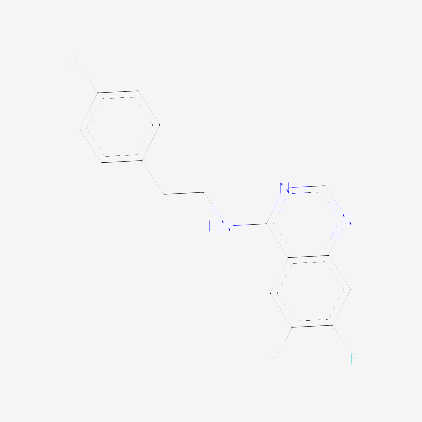 Fc1cc2ncnc(NCCc3ccc(Cl)cc3)c2cc1F